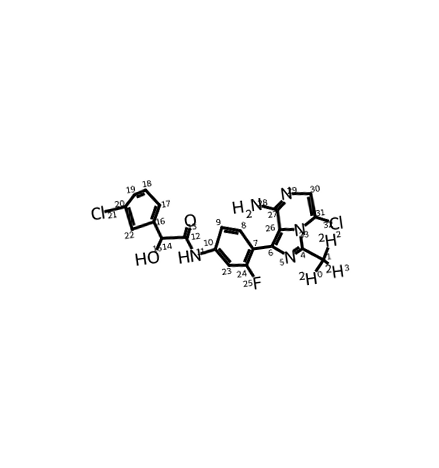 [2H]C([2H])([2H])c1nc(-c2ccc(NC(=O)C(O)c3cccc(Cl)c3)cc2F)c2c(N)ncc(Cl)n12